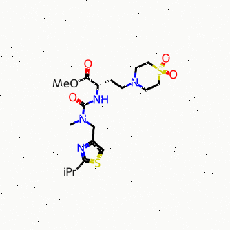 COC(=O)[C@H](CCN1CCS(=O)(=O)CC1)NC(=O)N(C)Cc1csc(C(C)C)n1